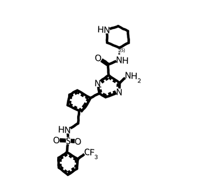 Nc1ncc(-c2cccc(CNS(=O)(=O)c3ccccc3C(F)(F)F)c2)nc1C(=O)N[C@H]1CCCNC1